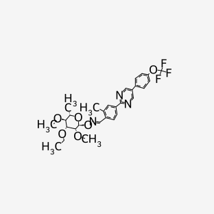 CCO[C@@H]1[C@@H](OC)[C@H](C)O[C@@H](O/N=C/c2ccc(-c3ncc(-c4ccc(OC(F)(F)F)cc4)cn3)cc2C)[C@@H]1OC